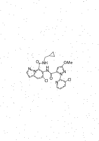 COc1cc(C(=O)Nc2c(Cl)cc3ccnn3c2C(=O)NCC2CC2)n(-c2ncccc2Cl)n1